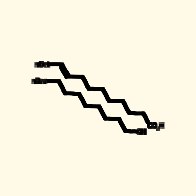 CCCCCCCCC=CCCCCCCCC(=O)O.CCCCCCCCCCCCCCCCCCO